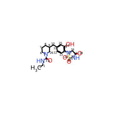 CCNC(=O)N1CCCC(Cc2ccc(N3CC(=O)NS3(=O)=O)c(O)c2)C1